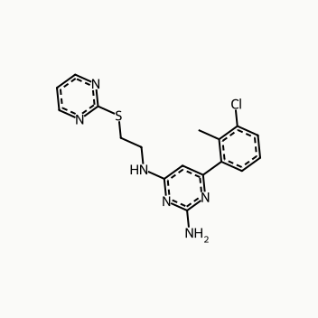 Cc1c(Cl)cccc1-c1cc(NCCSc2ncccn2)nc(N)n1